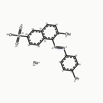 CC(C)c1ccc(/N=N/c2c(O)ccc3cc(S(=O)(=O)[O-])ccc23)cc1.[Na+]